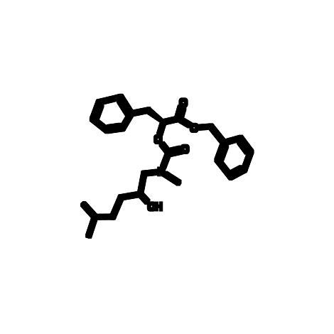 CC(C)CCC(O)CN(C)C(=O)O[C@@H](Cc1ccccc1)C(=O)OCc1ccccc1